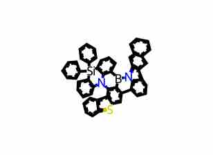 c1ccc([Si]2(c3ccccc3)c3ccccc3N3c4c(cccc42)B2c4c(cc5sc6ccccc6c5c43)-c3cccc4c5cc6ccccc6cc5n2c34)cc1